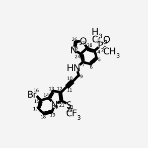 CP(C)(=O)c1ccc(NCC#Cc2cc3c(Br)cccn3c2SC(F)(F)F)c2ncoc12